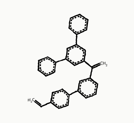 C=Cc1ccc(-c2cccc(C(=C)c3cc(-c4ccccc4)cc(-c4ccccc4)c3)c2)cc1